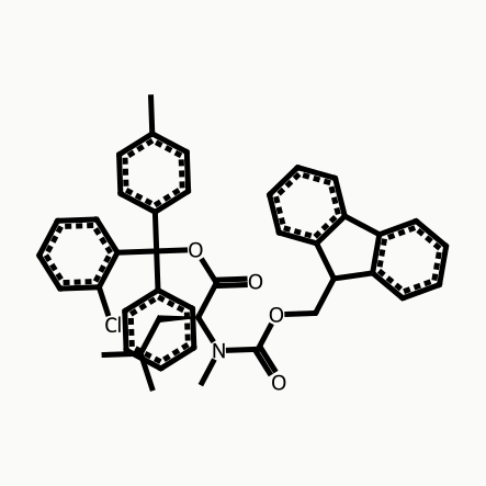 Cc1ccc(C(OC(=O)[C@H](CC(C)C)N(C)C(=O)OCC2c3ccccc3-c3ccccc32)(c2ccccc2)c2ccccc2Cl)cc1